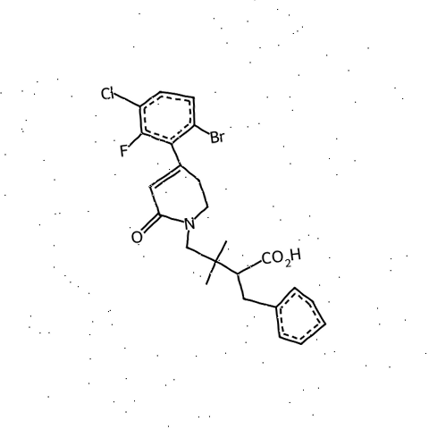 CC(C)(CN1CCC(c2c(Br)ccc(Cl)c2F)=CC1=O)C(Cc1ccccc1)C(=O)O